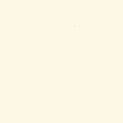 Cc1c(F)cccc1C1[C@@H](C(=O)c2ccc(O)cc2)CN(CC(=O)O)C[C@H]1C(=O)c1ccc(O)cc1